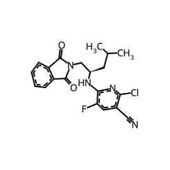 CC(C)C[C@H](CN1C(=O)c2ccccc2C1=O)Nc1nc(Cl)c(C#N)cc1F